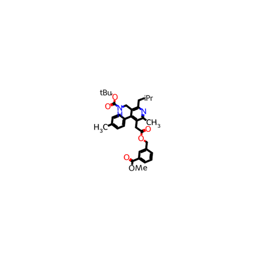 COC(=O)c1cccc(COC(=O)Cc2c(C)nc(CC(C)C)c(CNC(=O)OC(C)(C)C)c2-c2ccc(C)cc2)c1